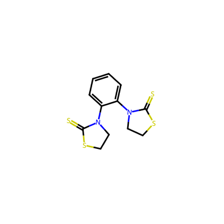 S=C1SCCN1c1ccccc1N1CCSC1=S